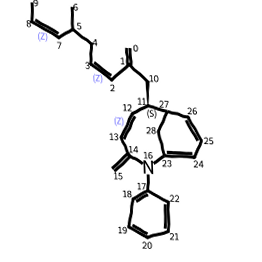 C=C(/C=C\CC(C)/C=C\C)C[C@@H]1/C=C\C(=C)N(c2ccccc2)C2=CC=CC1C2